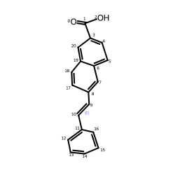 O=C(O)c1ccc2cc(/C=C/c3ccccc3)ccc2c1